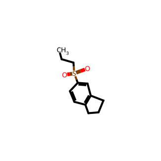 CCCS(=O)(=O)c1ccc2c(c1)CCC2